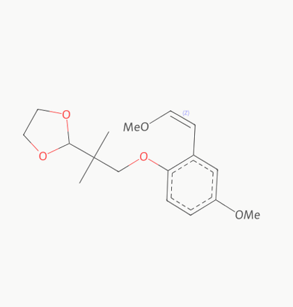 CO/C=C\c1cc(OC)ccc1OCC(C)(C)C1OCCO1